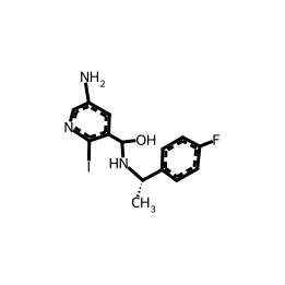 C[C@H](NC(O)c1cc(N)cnc1I)c1ccc(F)cc1